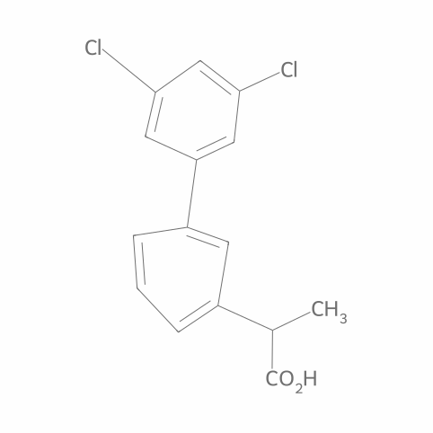 CC(C(=O)O)c1cccc(-c2cc(Cl)cc(Cl)c2)c1